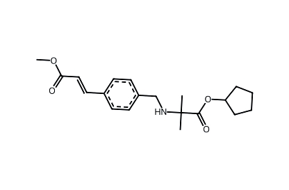 COC(=O)/C=C/c1ccc(CNC(C)(C)C(=O)OC2CCCC2)cc1